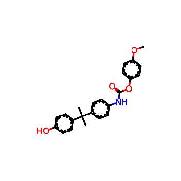 COc1ccc(OC(=O)Nc2ccc(C(C)(C)c3ccc(O)cc3)cc2)cc1